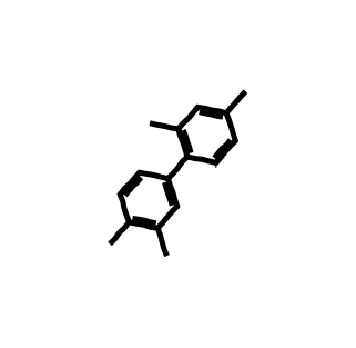 Cc1c[c]c(-c2ccc(C)c(C)c2)c(C)c1